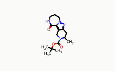 CC1Cc2nn3c(c2CN1C(=O)OC(C)(C)C)C(=O)NCCC3